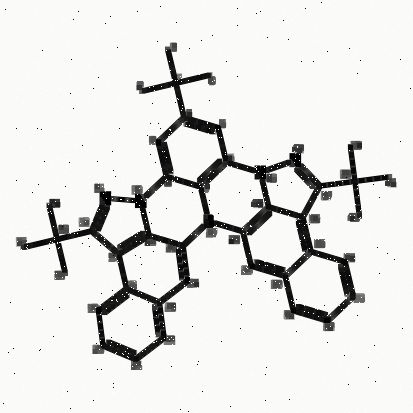 CC(C)(C)c1cc2c3c(c1)-n1nc(C(C)(C)C)c4c5ccccc5cc(c41)B3c1cc3ccccc3c3c(C(C)(C)C)nn-2c13